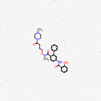 CN1CCN(C(=O)CCCON(C)C(=O)c2ccc(NC(=O)c3ccccc3O)cc2-c2ccccc2)CC1